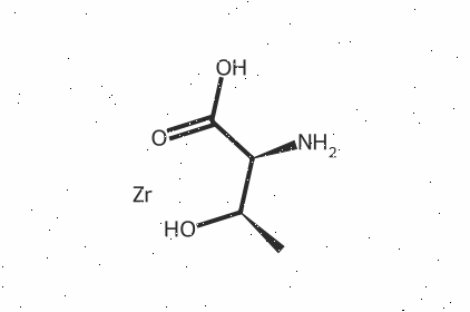 C[C@@H](O)[C@H](N)C(=O)O.[Zr]